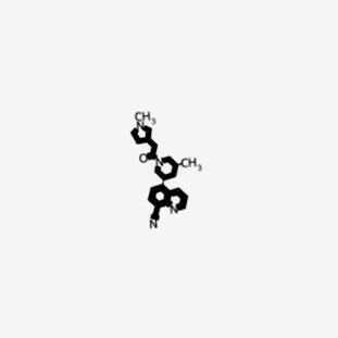 C[C@@H]1C[C@H](c2ccc(C#N)c3ncccc23)CN(C(=O)CC2CCN(C)C2)C1